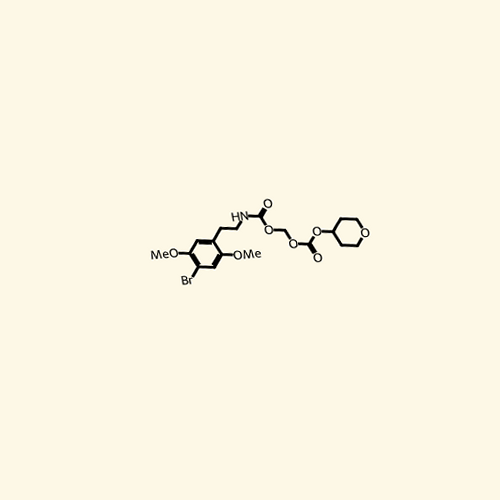 COc1cc(CCNC(=O)OCOC(=O)OC2CCOCC2)c(OC)cc1Br